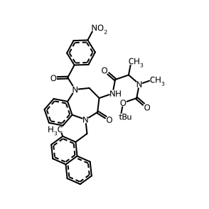 Cc1ccc2ccccc2c1CN1C(=O)C(NC(=O)C(C)N(C)C(=O)OC(C)(C)C)CN(C(=O)c2ccc([N+](=O)[O-])cc2)c2ccccc21